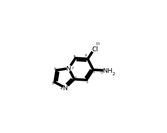 Nc1cc2nccn2cc1Cl